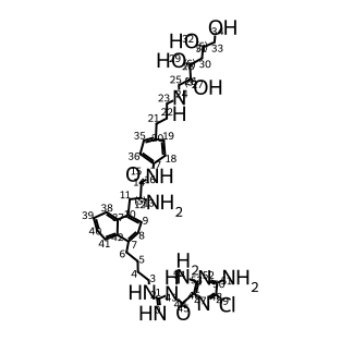 N=C(NCCCCc1ccc(C[C@H](N)C(=O)Nc2ccc(CCCNC[C@H](O)[C@@H](O)C[C@H](O)CO)cc2)c2ccccc12)NC(=O)c1nc(Cl)c(N)nc1N